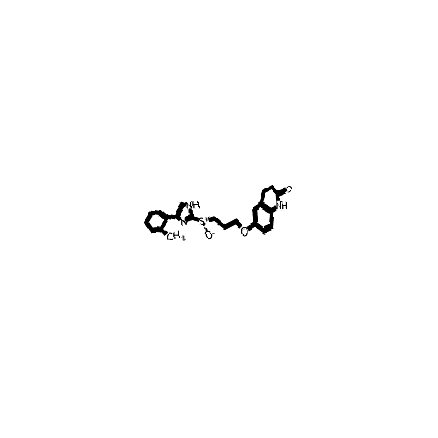 Cc1ccccc1-c1c[nH]c([S@@+]([O-])CCCOc2ccc3c(c2)CCC(=O)N3)n1